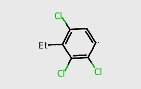 CCc1c(Cl)c[c]c(Cl)c1Cl